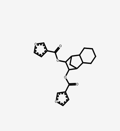 O=C(OC1C2CC(C3CCCCC32)C1OC(=O)c1ccoc1)c1ccoc1